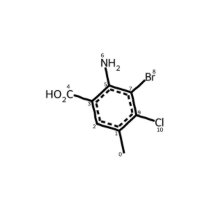 Cc1cc(C(=O)O)c(N)c(Br)c1Cl